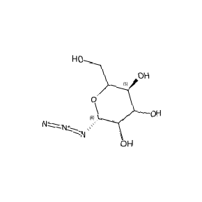 [N-]=[N+]=N[C@@H]1OC(CO)[C@@H](O)C(O)C1O